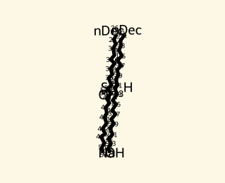 CCCCCCCCCCCCCCCCCCCCCCCCCCCCCCCCCCO.CCCCCCCCCCCCCCCCCCCCCCCCCCCCCCCCC[CH2][Na].O=S(=O)(O)O